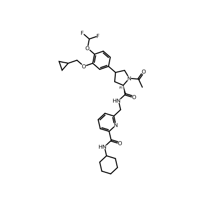 CC(=O)N1CC(c2ccc(OC(F)F)c(OCC3CC3)c2)C[C@@H]1C(=O)NCc1cccc(C(=O)NC2CCCCC2)n1